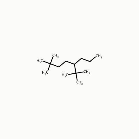 CCCC(CCC(C)(C)C)C(C)(C)C